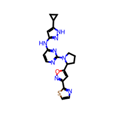 c1cc(Nc2cc(C3CC3)[nH]n2)nc(N2CCCC2c2cc(-c3nccs3)no2)n1